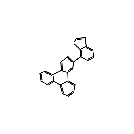 c1cc(-c2ccc3c4ccccc4c4ccccc4c3c2)c2sccc2c1